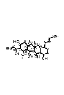 CC(C)CCCC1CCC(O)C2C(O)C3C(O)[C@]4(O)C(O)C(C(O)CC(C)(C)C)C(O)C[C@@H]4C[C@@H]3CC12